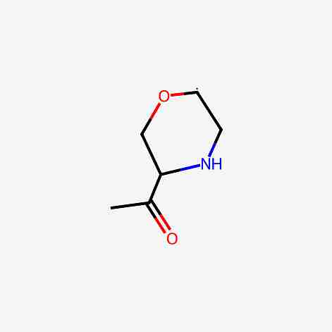 CC(=O)C1CO[CH]CN1